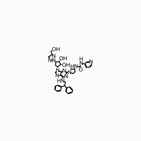 O=C(Nc1cccnc1)NC1CCN(c2nc(NCC(c3ccccc3)c3ccccc3)c3ncn([C@@H]4C[C@H](n5ncc(CO)n5)[C@@H](O)[C@H]4O)c3n2)C1